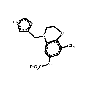 CCOC(=O)Nc1cc2c(c(C(F)(F)F)c1)OCCN2Cc1c[nH]cn1